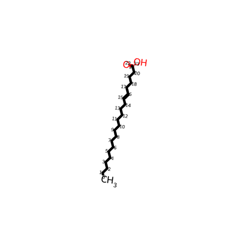 CCCCCCCCCCCCCCCC=CCCCCC(=O)O